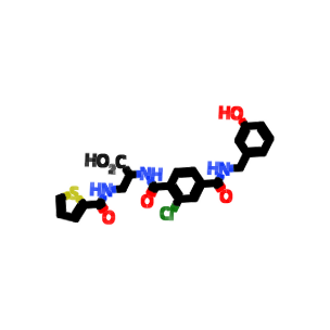 O=C(NCc1cccc(O)c1)c1ccc(C(=O)NC(CNC(=O)c2cccs2)C(=O)O)c(Cl)c1